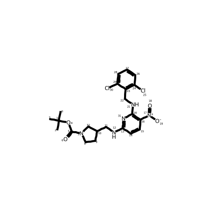 CC(C)(C)OC(=O)N1CCC(CNc2ccc([N+](=O)[O-])c(NCc3c(Cl)cccc3Cl)n2)C1